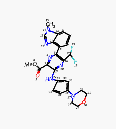 COC(=O)c1nc(-c2cccc3c2ncn3C)c(C(F)F)nc1Nc1ccc(N2CCOCC2)cc1